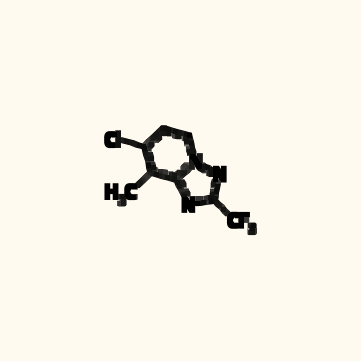 Cc1c(Cl)ccn2nc(C(F)(F)F)nc12